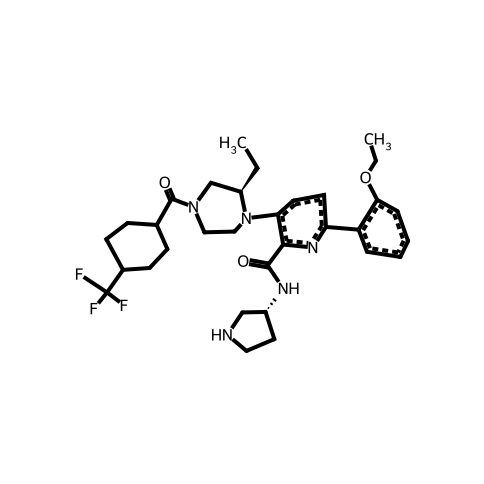 CCOc1ccccc1-c1ccc(N2CCN(C(=O)C3CCC(C(F)(F)F)CC3)C[C@H]2CC)c(C(=O)N[C@@H]2CCNC2)n1